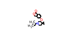 CC[C@H](C)N1CCC2(CC2)[C@@H](Oc2ccc3c(c2)COC3=O)C1